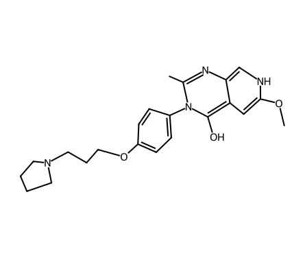 COC1=CC2=C(O)N(c3ccc(OCCCN4CCCC4)cc3)C(C)=NC2=CN1